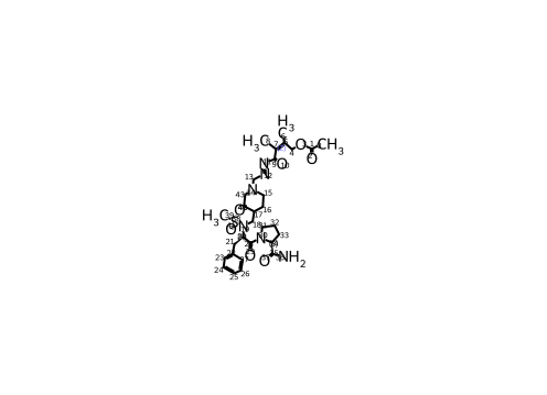 CC(=O)OC/C(C)=C(/C)C(=O)N=NCN1CCC(CN([C@H](Cc2ccccc2)C(=O)N2CCC[C@H]2C(N)=O)S(C)(=O)=O)CC1